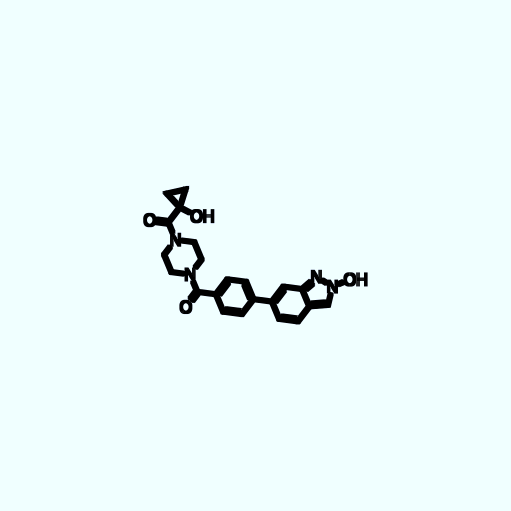 O=C(c1ccc(-c2ccc3cn(O)nc3c2)cc1)N1CCN(C(=O)C2(O)CC2)CC1